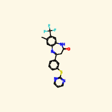 Cc1cc2c(cc1C(F)(F)F)NC(=O)CC(c1cccc(Sc3ncccn3)c1)=N2